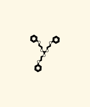 c1ccc(OCCOC(OCCOc2ccccc2)OCCOc2ccccc2)cc1